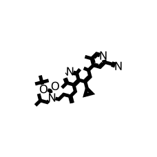 C=C(CCN(CC(C)C)C(=O)OC(C)(C)C)C/C(C(=C)C)=C(C(=C/C(C)c1cc(C#N)ncc1C)\C1CC1)/C(C)=N\C